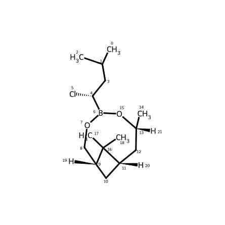 CC(C)C[C@@H](Cl)B1OC[C@H]2C[C@@H](C[C@@H](C)O1)C2(C)C